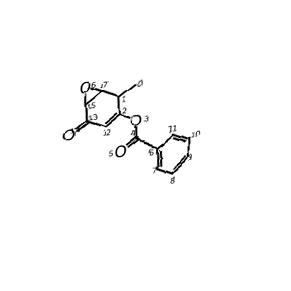 CC1C(OC(=O)c2ccccc2)=CC(=O)C2OC12